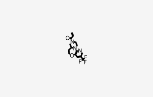 C=CC(=O)N1CCN2c3ncc(C(F)(F)F)cc3OCCC2C1